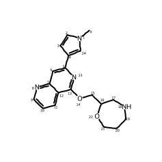 Cn1ccc(-c2cc3ncccc3c(OCC3CNCCCO3)n2)c1